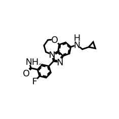 NC(=O)c1cc(-c2nc3cc(NCC4CC4)cc4c3n2CCCO4)ccc1F